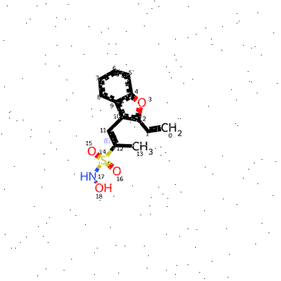 C=Cc1oc2ccccc2c1/C=C(\C)S(=O)(=O)NO